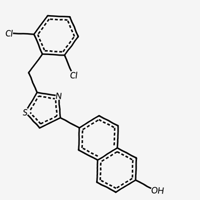 Oc1ccc2cc(-c3csc(Cc4c(Cl)cccc4Cl)n3)ccc2c1